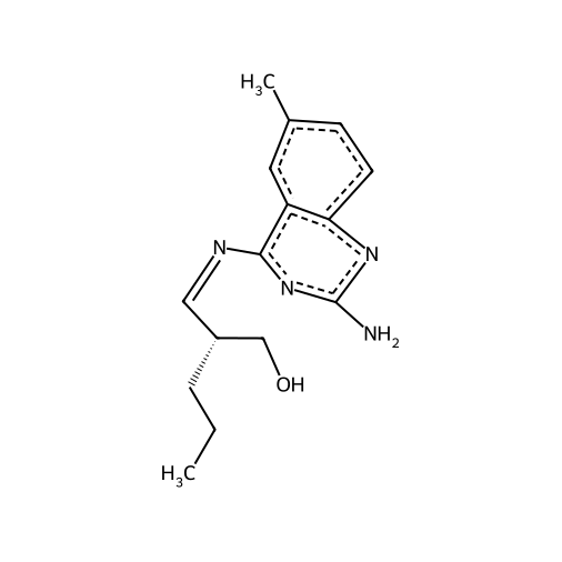 CCC[C@H](/C=N\c1nc(N)nc2ccc(C)cc12)CO